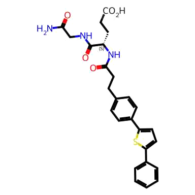 NC(=O)CNC(=O)[C@H](CCC(=O)O)NC(=O)CCc1ccc(-c2ccc(-c3ccccc3)s2)cc1